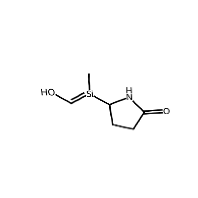 C/[Si](=C\O)C1CCC(=O)N1